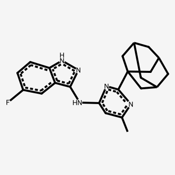 Cc1cc(Nc2n[nH]c3ccc(F)cc23)nc(C23CC4CC(CC(C4)C2)C3)n1